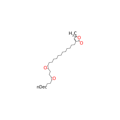 CCCCCCCCCCCCC1OC1CCC1OC1CCCCCCCCCCCCC1=C[C@H](C)OC1=O